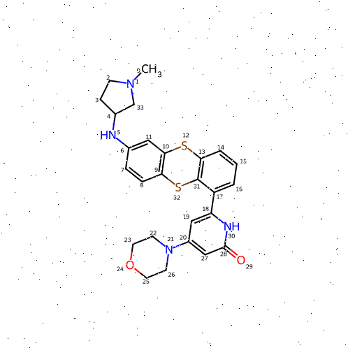 CN1CCC(Nc2ccc3c(c2)Sc2cccc(-c4cc(N5CCOCC5)cc(=O)[nH]4)c2S3)C1